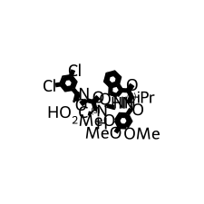 COc1cc(C(=O)N[C@H](C(=O)C2c3ccccc3CC2NCC(=O)N[C@@H](CC(=O)O)C(=O)c2nc(-c3cc(Cl)cc(Cl)c3)co2)C(C)C)cc(OC)c1OC